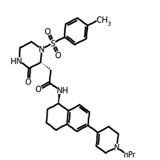 CCCN1CC=C(c2ccc3c(c2)CCC[C@H]3NC(=O)C[C@@H]2C(=O)NCCN2S(=O)(=O)c2ccc(C)cc2)CC1